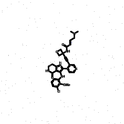 COc1c(Cl)cccc1Nc1c(-c2ccncc2C#CC2(NC(=O)/C=C/CN(C)C)COC2)[nH]c2c1C(=O)NCC2